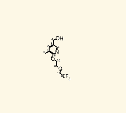 Cc1cc(CO)cnc1OCCOCC(F)(F)F